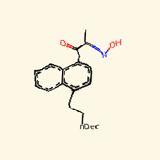 CCCCCCCCCCCCc1ccc(C(=O)C(C)=NO)c2ccccc12